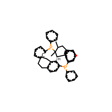 CC1CC2=C(CCCC2)[C@H](c2c(P(c3ccccc3)c3ccccc3)ccc3c2CCCC3)C1(C)P(c1ccccc1)c1ccccc1